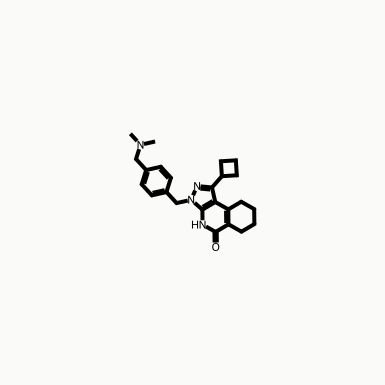 CN(C)Cc1ccc(Cn2nc(C3CCC3)c3c4c(c(=O)[nH]c32)CCCC4)cc1